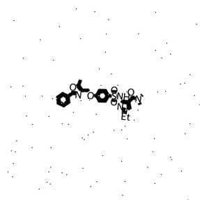 CCn1cc(C(=O)N(C)C)c(NS(=O)(=O)c2ccc(OCc3nc(-c4ccccc4)oc3C)cc2)n1